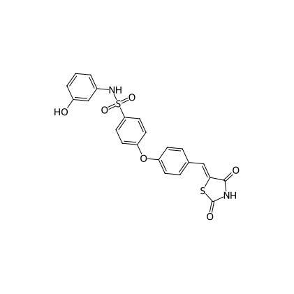 O=C1NC(=O)C(=Cc2ccc(Oc3ccc(S(=O)(=O)Nc4cccc(O)c4)cc3)cc2)S1